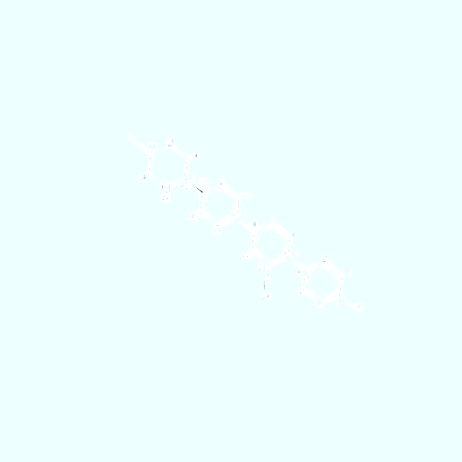 Cc1ccc(-c2ccc(-c3ccc([C@@H]4CCC(C)CO4)cc3)cc2F)cc1